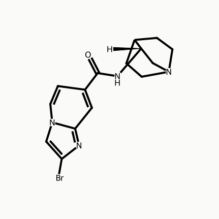 O=C(N[C@H]1CN2CCC1CC2)c1ccn2cc(Br)nc2c1